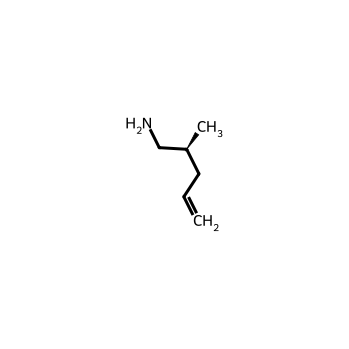 C=CC[C@H](C)CN